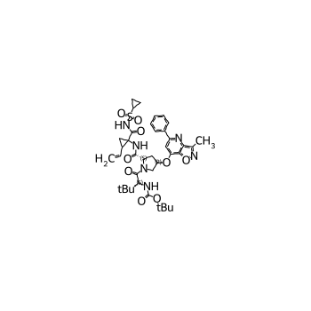 C=CC1CC1(NC(=O)[C@@H]1C[C@@H](Oc2cc(-c3ccccc3)nc3c(C)noc23)CN1C(=O)[C@@H](NC(=O)OC(C)(C)C)C(C)(C)C)C(=O)NS(=O)(=O)C1CC1